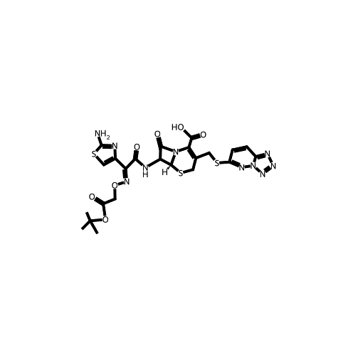 CC(C)(C)OC(=O)CON=C(C(=O)NC1C(=O)N2C(C(=O)O)=C(CSc3ccc4nnnn4n3)CS[C@@H]12)c1csc(N)n1